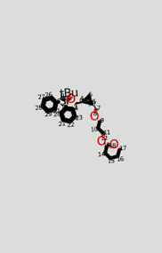 CC(C)(C)[Si](OC[C@H]1C[C@@H]1COCCCOC1CCCCO1)(c1ccccc1)c1ccccc1